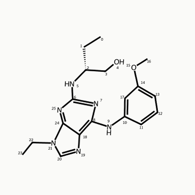 CC[C@H](CO)Nc1nc(Nc2cccc(OC)c2)c2ncn(CC)c2n1